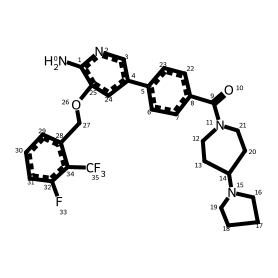 Nc1ncc(-c2ccc(C(=O)N3CCC(N4CCCC4)CC3)cc2)cc1OCc1cccc(F)c1C(F)(F)F